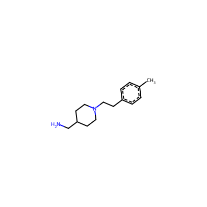 Cc1ccc(CCN2CCC(CN)CC2)cc1